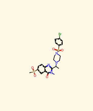 CC(c1nc2ccc(S(C)(=O)=O)cc2c(=O)n1C)N1CCN(S(=O)(=O)c2ccc(Br)cc2)CC1